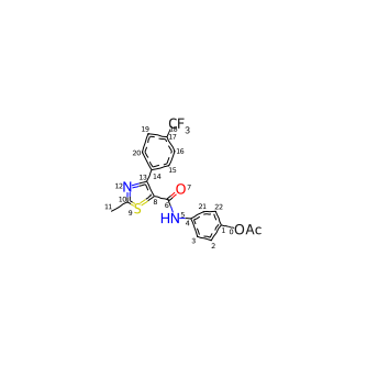 CC(=O)Oc1ccc(NC(=O)c2sc(C)nc2-c2ccc(C(F)(F)F)cc2)cc1